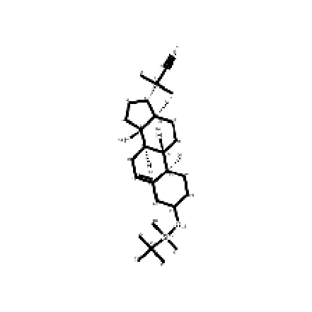 CC(C)(C#N)[C@H]1CC[C@H]2[C@@H]3CC=C4CC(O[Si](C)(C)C(C)(C)C)CC[C@]4(C)[C@H]3CC[C@]12C